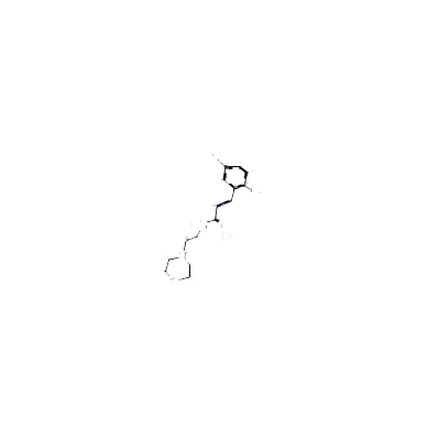 Cl.Nc1ccc(O)c(/C=C/C(=O)NCCN2CCOCC2)c1